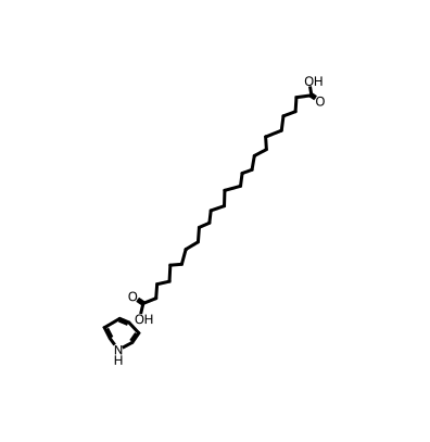 C1=CC=CNC=C1.O=C(O)CCCCCCCCCCCCCCCCCCCCCCC(=O)O